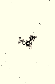 Cn1ncc(-c2cc(OCC(F)F)cc(Cl)n2)n1